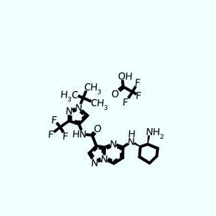 CC(C)(C)n1cc(NC(=O)c2cnn3ccc(N[C@@H]4CCCC[C@@H]4N)nc23)c(C(F)(F)F)n1.O=C(O)C(F)(F)F